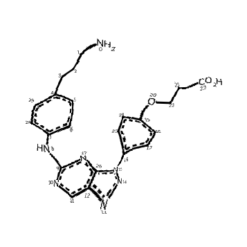 NCCCc1ccc(Nc2ncc3nnn(-c4ccc(OCCC(=O)O)cc4)c3n2)cc1